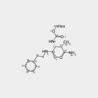 CCCCCCOC(=O)N[C@@H](C(=O)NCCc1ccccc1)C(C)C(N)=O